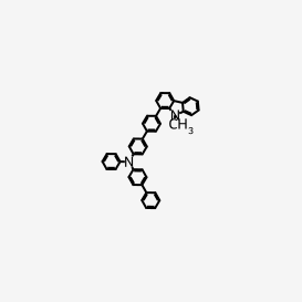 Cn1c2ccccc2c2cccc(-c3ccc(-c4ccc(N(c5ccccc5)c5ccc(-c6ccccc6)cc5)cc4)cc3)c21